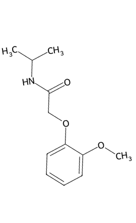 COc1ccccc1OCC(=O)NC(C)C